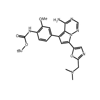 COc1cc(-c2cc(-c3cnc(CN(C)C)o3)n3ncnc(N)c23)ccc1NC(=O)OC(C)(C)C